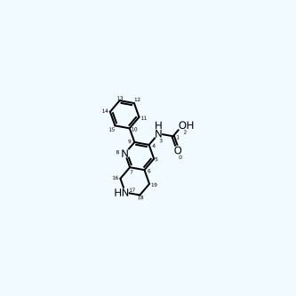 O=C(O)Nc1cc2c(nc1-c1ccccc1)CNCC2